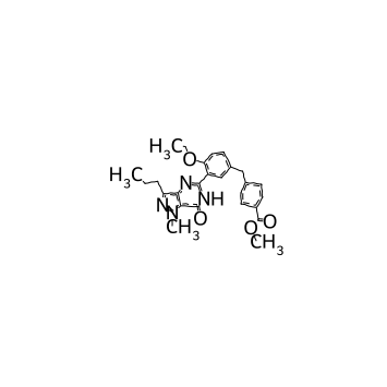 CCCc1nn(C)c2c(=O)[nH]c(-c3cc(Cc4ccc(C(=O)OC)cc4)ccc3OCC)nc12